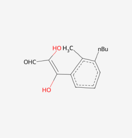 CCCCc1cccc(C(O)=C(O)C=O)c1C